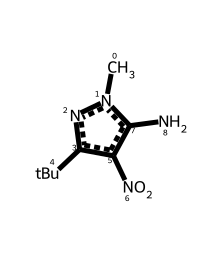 Cn1nc(C(C)(C)C)c([N+](=O)[O-])c1N